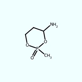 CP1(=O)OCCC(N)O1